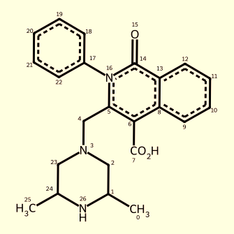 CC1CN(Cc2c(C(=O)O)c3ccccc3c(=O)n2-c2ccccc2)CC(C)N1